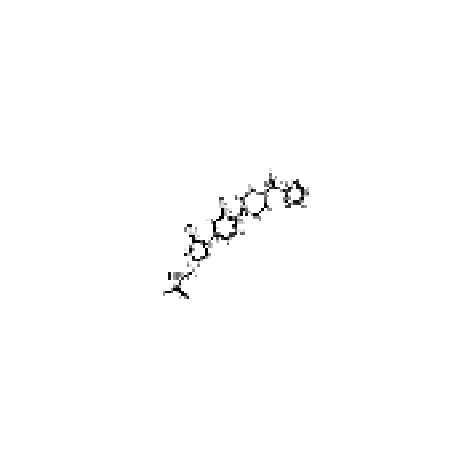 CC(=S)NC[C@H]1CN(c2ccc(N3CCN(C(=S)c4nncs4)CC3)c(F)c2)C(=O)O1